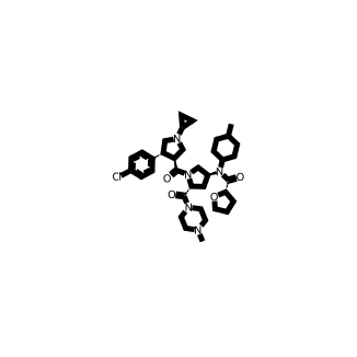 CC1CCC(N(C(=O)[C@@H]2CCCO2)[C@H]2C[C@H](C(=O)N3CCN(C)CC3)N(C(=O)[C@@H]3CN(C4CC4)C[C@H]3c3ccc(Cl)cc3)C2)CC1